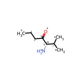 CCCC(=O)[C@@H](N)C(C)C